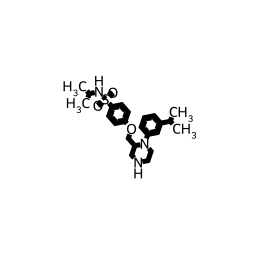 CC(C)NS(=O)(=O)c1ccc(OCC2CNCCN2c2cccc(C(C)C)c2)cc1